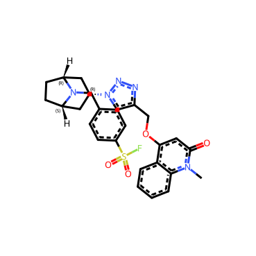 Cn1c(=O)cc(OCc2cn([C@H]3C[C@H]4CC[C@@H](C3)N4Cc3ccc(S(=O)(=O)F)cc3)nn2)c2ccccc21